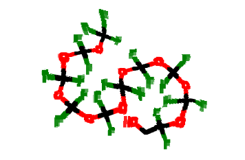 OCC(F)(F)OC(F)(F)OC(F)(F)OC(F)(F)OC(F)(F)OC(F)(F)OC(F)(F)OC(F)(F)OC(F)(F)OC(F)(F)F